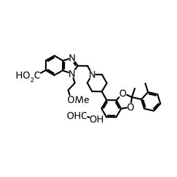 COCCn1c(CN2CCC(c3cccc4c3OC(C)(c3ccccc3C)O4)CC2)nc2ccc(C(=O)O)cc21.O=CO